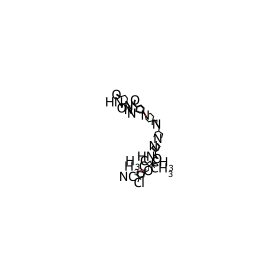 CC1(C)[C@H](NC(=O)c2ccc(N3CCC(CN4CC5(CCN(c6ccc7c(=O)n(C8CCC(=O)NC8=O)nnc7c6)CC5)C4)CC3)nc2)C(C)(C)[C@H]1Oc1ccc(C#N)c(Cl)c1